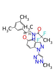 Cc1cc(C)cc([C@@H](Oc2ccc3c(cnn3-c3cn(C)nn3)c2)[C@H](C)NC(=O)C(C)(F)F)c1